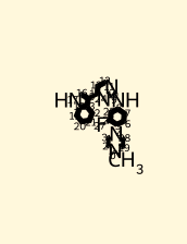 CN1CCN(c2ccc(Nc3nccc(-c4c[nH]c5ccccc45)n3)cc2F)CC1